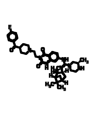 C[C@@H]1[C@@H](N=C(Nc2ccc3c(=O)n(CCN4CCC(C(=O)c5ccc(F)cc5)CC4)c(=O)[nH]c3c2)N2CCN[C@@H](C)C2)C[C@H]2C[C@@H]1C2(C)C